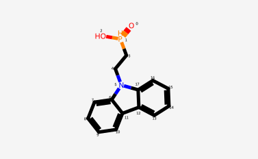 O=[PH](O)CCn1c2ccccc2c2ccccc21